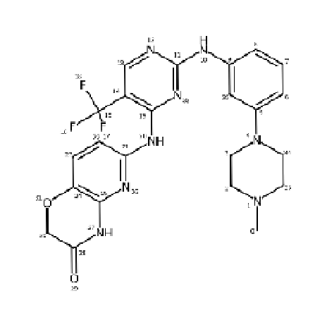 CN1CCN(c2cccc(Nc3ncc(C(F)(F)F)c(Nc4ccc5c(n4)NC(=O)CO5)n3)c2)CC1